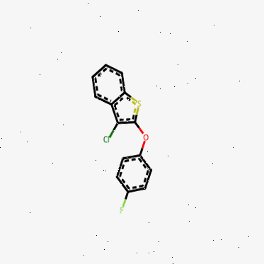 Fc1ccc(Oc2sc3ccccc3c2Cl)cc1